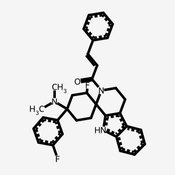 CN(C)C1(c2cccc(F)c2)CCC2(c3[nH]c4ccccc4c3CCN2C(=O)C=Cc2ccccc2)C(F)C1